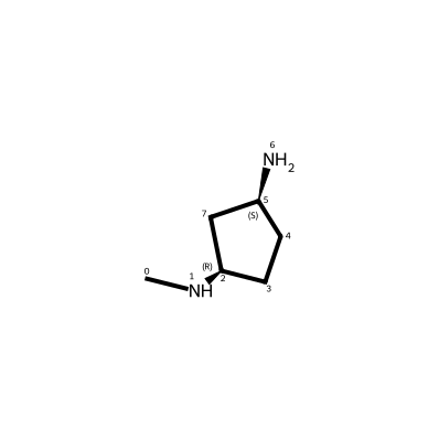 CN[C@@H]1CC[C@H](N)C1